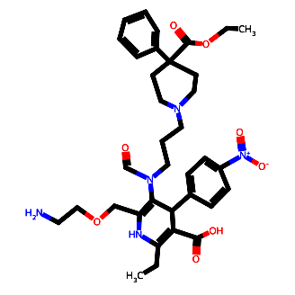 CCOC(=O)C1(c2ccccc2)CCN(CCCN(C=O)C2=C(COCCN)NC(CC)=C(C(=O)O)C2c2ccc([N+](=O)[O-])cc2)CC1